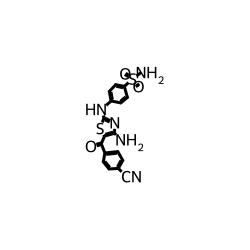 N#Cc1ccc(C(=O)c2sc(Nc3ccc(S(N)(=O)=O)cc3)nc2N)cc1